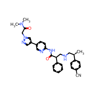 C[C@H](CNCC(C(=O)Nc1ccc(-c2cnn(CC(=O)N(C)C)c2)cn1)c1ccccc1)c1ccc(C#N)cc1